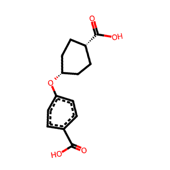 O=C(O)c1ccc(O[C@H]2CC[C@@H](C(=O)O)CC2)cc1